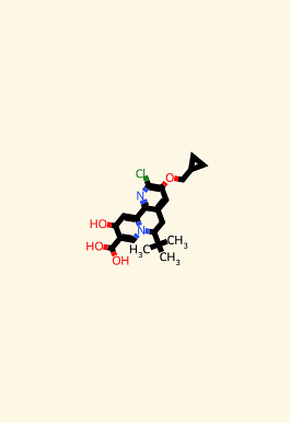 CC(C)(C)C1Cc2cc(OCC3CC3)c(Cl)nc2C2=CC(O)C(C(O)O)=CN21